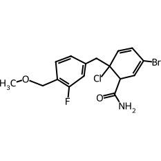 COCc1ccc(CC2(Cl)C=CC(Br)=CC2C(N)=O)cc1F